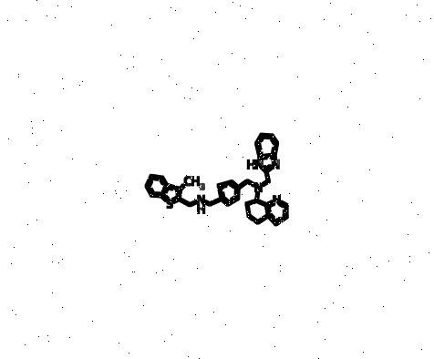 Cc1c(CNCc2ccc(CN(Cc3nc4ccccc4[nH]3)C3CCCc4cccnc43)cc2)sc2ccccc12